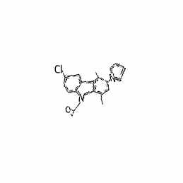 Cc1c(-n2cccc2)cc(C)c2c1c1cc(Cl)ccc1n2CC1CO1